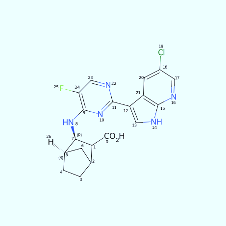 O=C(O)C1C2CC[C@H](C2)[C@H]1Nc1nc(-c2c[nH]c3ncc(Cl)cc23)ncc1F